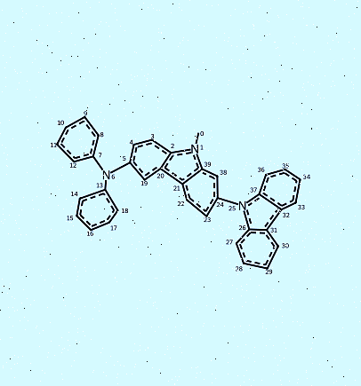 Cn1c2ccc(N(c3ccccc3)c3ccccc3)cc2c2ccc(-n3c4ccccc4c4ccccc43)cc21